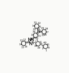 c1ccc(-c2ccc(-c3nc(-c4ccccc4)nn3-c3ccc(N(c4ccccc4)c4ccccc4)cc3)cc2)cc1